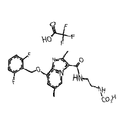 Cc1cc(OCc2c(F)cccc2F)c2nc(C)c(C(=O)NCCNC(=O)O)n2c1.O=C(O)C(F)(F)F